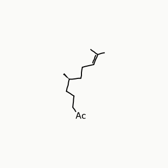 CC(=O)CCC[C@@H](C)CCC=C(C)C